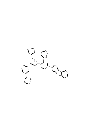 c1ccc(-c2nc(-c3cccc(-c4cccnc4)c3)cc(-c3ccc(-c4ccc5c(c4)oc4ccccc45)c4oc5ccccc5c34)n2)cc1